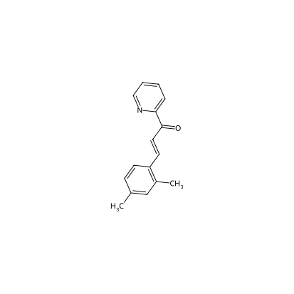 Cc1ccc(C=CC(=O)c2ccccn2)c(C)c1